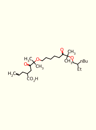 C=CCC(CC(=O)C(C)(C)OCCCCCC(=O)C(C)(C)OCC(CC)CCCC)C(=O)O